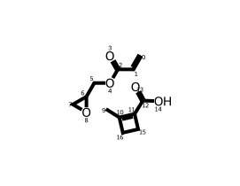 C=CC(=O)OCC1CO1.CC1=C(C(=O)O)CC1